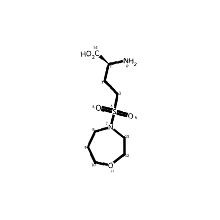 N[C@@H](CCS(=O)(=O)N1CCCOCC1)C(=O)O